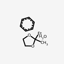 CCC1(C)OCCO1.O.c1ccccc1